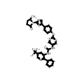 CC1CCC(=O)N1c1ncc(-c2ccc(Oc3ncc(NC(=O)Nc4cc(C(F)(F)F)cnc4-c4ccccc4)cn3)cc2)s1